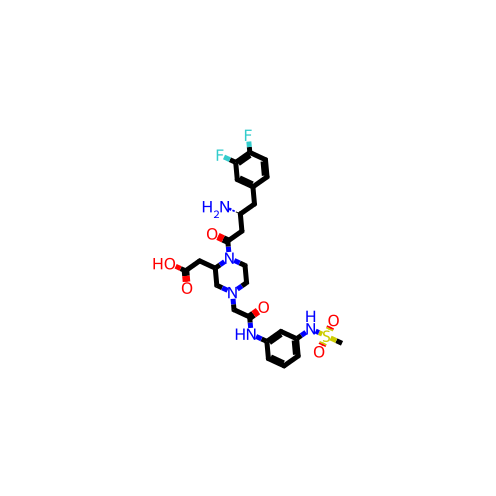 CS(=O)(=O)Nc1cccc(NC(=O)CN2CCN(C(=O)C[C@H](N)Cc3ccc(F)c(F)c3)C(CC(=O)O)C2)c1